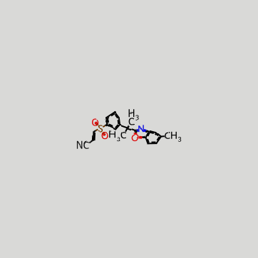 Cc1ccc2oc(C(C)(C)c3cccc(S(=O)(=O)C=CC#N)c3)nc2c1